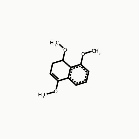 CO[C]1CC=C(OC)c2cccc(OC)c21